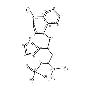 Cc1ccc(OC(CC(OP(=O)(O)O)N(C)C)c2cccs2)c2ccccc12